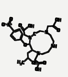 CC(O)CC1C(Oc2ccc([N+](=O)[O-])cc2)N(CC(=O)O)CCN(CC(=O)O)CCNCCN1CC(=O)O